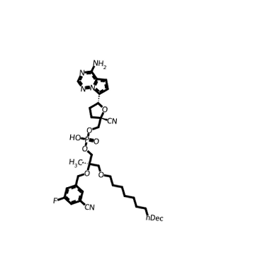 CCCCCCCCCCCCCCCCCOC[C@](C)(COP(=O)(O)OC[C@]1(C#N)CC[C@H](c2ccc3c(N)ncnn23)O1)OCc1cc(F)cc(C#N)c1